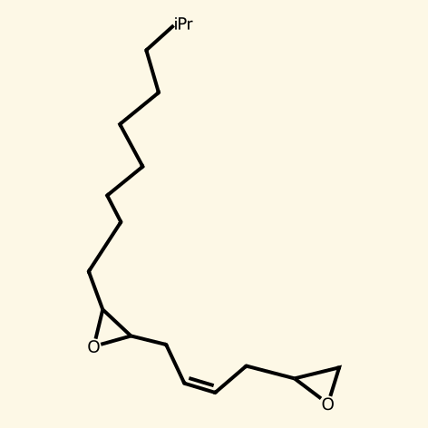 CC(C)CCCCCCCC1OC1C/C=C\CC1CO1